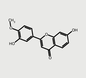 COc1ccc(-c2cc(=O)c3ccc(O)cc3o2)cc1O